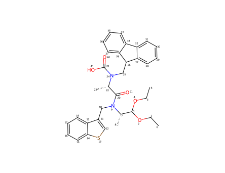 CCOC(OCC)[C@H](C)N(Cc1csc2ccccc12)C(=O)[C@H](C)N(CC1c2ccccc2-c2ccccc21)C(=O)O